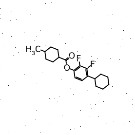 CC1CCC(C(=O)Oc2ccc(C3CCCCC3)c(F)c2F)CC1